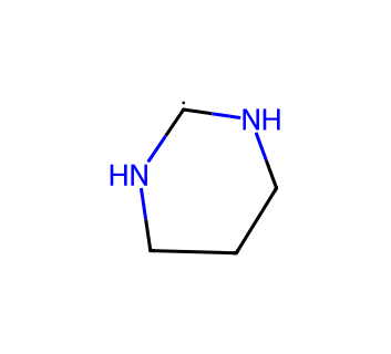 [CH]1NCCCN1